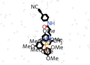 C=C(C[PH](c1c(OC)cc(OC)cc1OC)(c1c(OC)cc(OC)cc1OC)c1c(OC)cc(OC)cc1OC)NCCCC(=O)Nc1ccc(C#CC#N)cc1